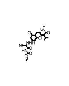 CCOC(=O)NC(=O)C(C#N)=NNc1cc(Cl)c(Cc2cc(C(C)C)c(=O)[nH]n2)c(Cl)c1